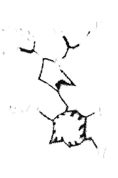 COC(=O)[C@@H]1CC(c2c(OC)ccc(Cl)c2Cl)=CN1C(=O)OC(C)(C)C